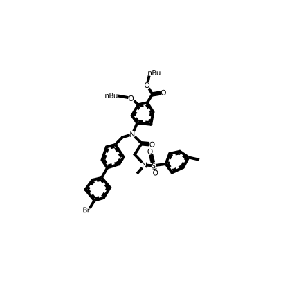 CCCCOC(=O)c1ccc(N(Cc2ccc(-c3ccc(Br)cc3)cc2)C(=O)CN(C)S(=O)(=O)c2ccc(C)cc2)cc1OCCCC